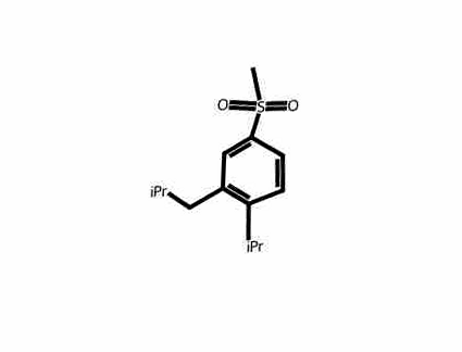 CC(C)Cc1cc(S(C)(=O)=O)ccc1C(C)C